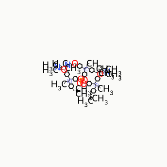 CC/C(=C(\c1ccc(OCCN(C)C)cc1)c1ccc(OP(=O)(Oc2ccc(/C(=C(/CC)c3ccc(CC(C)C)cc3)c3ccc(OCCN(C)C)cc3)cc2)Oc2ccc(/C(=C(/CC)c3ccc(CC(C)C)cc3)c3ccc(OCCN(C)C)cc3)cc2)cc1)c1ccc(CC(C)C)cc1